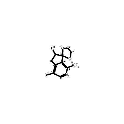 FC1Cc2c(Br)cnc(C(F)(F)F)c2C12OCCO2